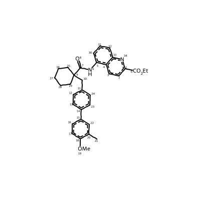 CCOC(=O)c1ccc2c(NC(=O)C3(Cc4ccc(-c5ccc(OC)c(C)c5)cc4)CCCCC3)cccc2n1